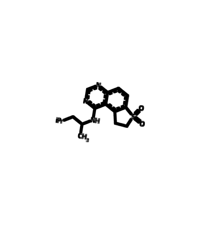 CC(C)CC(C)Nc1ncnc2ccc3c(c12)CCS3(=O)=O